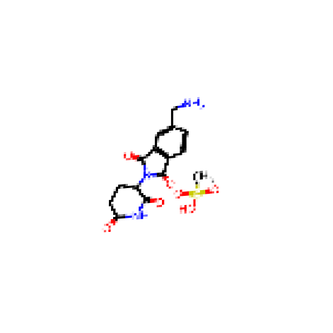 CS(=O)(=O)O.NCc1ccc2c(c1)C(=O)N(C1CCC(=O)NC1=O)C2=O